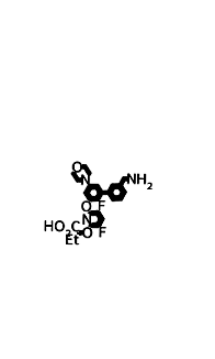 CCC(Oc1nc(Oc2cc(-c3cccc(CN)c3)cc(N3CCOCC3)c2)c(F)cc1F)C(=O)O